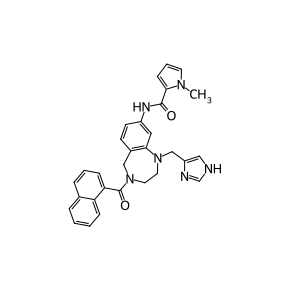 Cn1cccc1C(=O)Nc1ccc2c(c1)N(Cc1c[nH]cn1)CCN(C(=O)c1cccc3ccccc13)C2